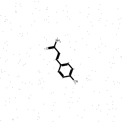 N#Cc1ccc(C=CC(N)=O)cc1